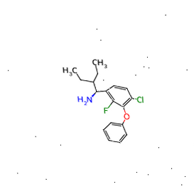 CCC(CC)[C@H](N)c1ccc(Cl)c(Oc2ccccc2)c1F